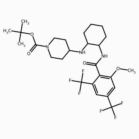 COc1cc(C(F)(F)F)cc(C(F)(F)F)c1C(=O)NC1CCCCC1NC1CCN(C(=O)OC(C)(C)C)CC1